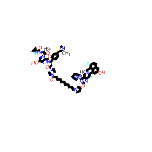 C#Cc1c(F)ccc2cc(O)cc(-c3ncc4c(N5CC6CCC(C5)N6)nc(OC5CCN(CCCCCCCCCCC(=O)N6CCN(C(=O)C[C@H](NC(=O)C7C[C@@H](O)CN7C(=O)C(NC(=O)C7(F)CC7)C(C)(C)C)c7ccc(-c8scnc8C)cc7)CC6)C5)nc4c3F)c12